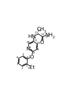 CCc1ccccc1Oc1ccc(N[C@H](C)C(N)=O)cn1